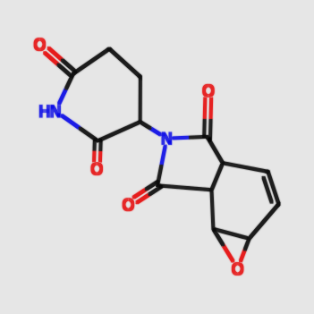 O=C1CCC(N2C(=O)C3C=CC4OC4C3C2=O)C(=O)N1